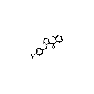 COc1ccc(Cn2nccc2C(=O)c2ccccc2C)cc1